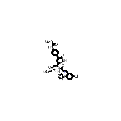 COC(=O)Nc1ccc(-c2cc(C(CS(=O)(=O)CC(C)(C)C)NC(=O)/C=C/c3cc(Cl)ccc3-n3cnnn3)n[nH]c2=O)cc1